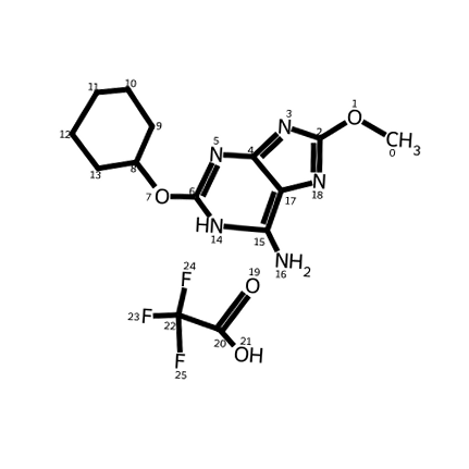 COc1nc2nc(OC3CCCCC3)[nH]c(N)c-2n1.O=C(O)C(F)(F)F